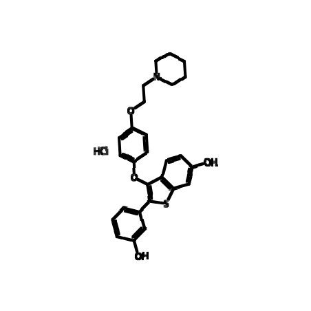 Cl.Oc1cccc(-c2sc3cc(O)ccc3c2Oc2ccc(OCCN3CCCCC3)cc2)c1